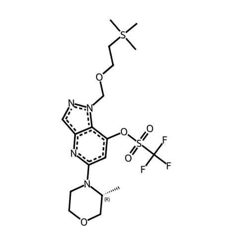 C[C@@H]1COCCN1c1cc(OS(=O)(=O)C(F)(F)F)c2c(cnn2COCCS(C)(C)C)n1